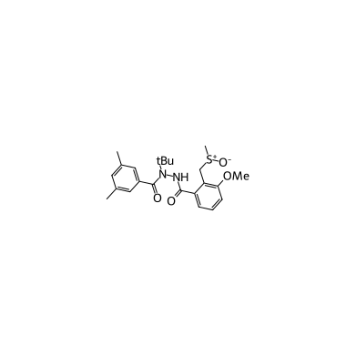 COc1cccc(C(=O)NN(C(=O)c2cc(C)cc(C)c2)C(C)(C)C)c1C[S+](C)[O-]